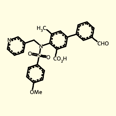 COc1ccc(S(=O)(=O)N(Cc2cccnc2)c2c(C)cc(-c3cccc(C=O)c3)cc2C(=O)O)cc1